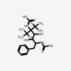 CC(C)(C)C(NC(=O)O)(C(O)C(O)C(Cc1ccccc1)NC(=O)O)C(C)(C)C